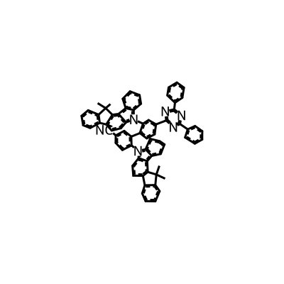 CC1(C)c2ccccc2-c2ccc3c(c21)c1ccccc1n3-c1ccc(C#N)cc1-c1ccc(-c2nc(-c3ccccc3)nc(-c3ccccc3)n2)cc1-n1c2ccccc2c2c3c(ccc21)-c1ccccc1C3(C)C